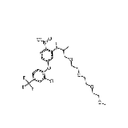 COCCOCCOCCOCC(C)Nc1cc(Oc2ccc(C(F)(F)F)cc2Cl)ccc1[N+](=O)[O-]